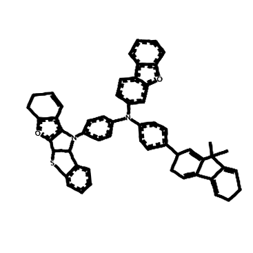 CC1(C)C2=CCCC=C2C2=CCC(c3ccc(N(c4ccc(N5c6c(oc7c6C=CCC7)C6Sc7ccccc7C65)cc4)c4ccc5c(c4)oc4ccccc45)cc3)C=C21